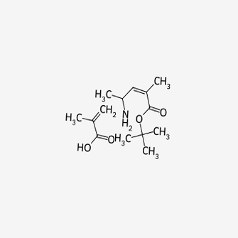 C=C(C)C(=O)O.CC(=CC(C)N)C(=O)OC(C)(C)C